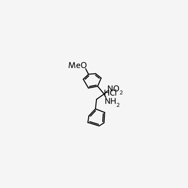 COc1ccc(C(N)(Cc2ccccc2)[N+](=O)[O-])cc1.Cl